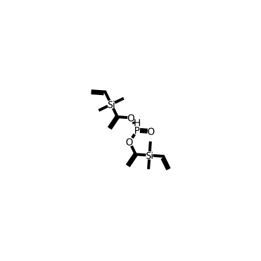 C=C[Si](C)(C)C(=C)O[PH](=O)OC(=C)[Si](C)(C)C=C